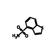 NS(=O)(=O)c1cccc2sccc12